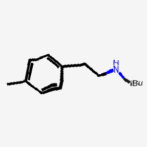 CCC(C)NCCc1ccc(C)cc1